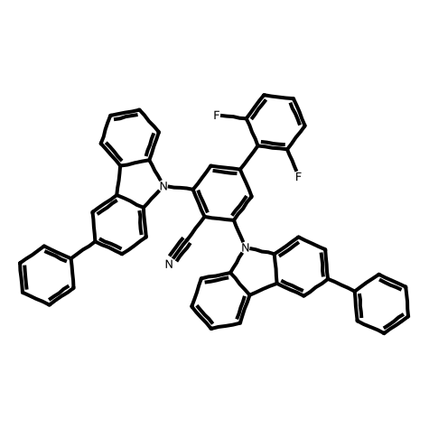 N#Cc1c(-n2c3ccccc3c3cc(-c4ccccc4)ccc32)cc(-c2c(F)cccc2F)cc1-n1c2ccccc2c2cc(-c3ccccc3)ccc21